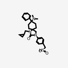 CN(C)C1(c2ccccc2)CCC2(CC1)CN(c1ccc(C[SH](=O)=O)cc1)C(=O)N2CC1CC1